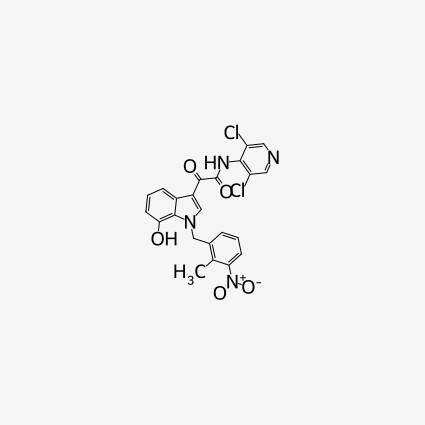 Cc1c(Cn2cc(C(=O)C(=O)Nc3c(Cl)cncc3Cl)c3cccc(O)c32)cccc1[N+](=O)[O-]